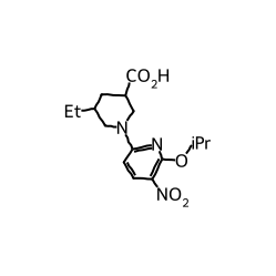 CCC1CC(C(=O)O)CN(c2ccc([N+](=O)[O-])c(OC(C)C)n2)C1